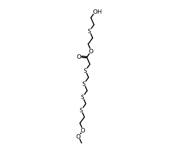 COOCCSCSCSCSCC(=O)OCCSCCO